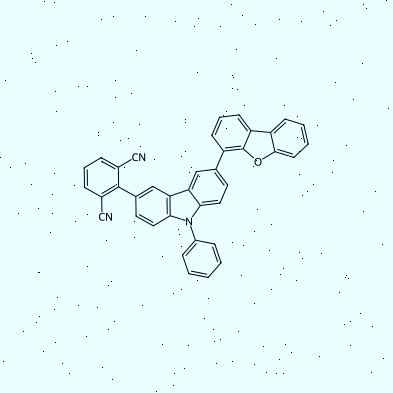 N#Cc1cccc(C#N)c1-c1ccc2c(c1)c1cc(-c3cccc4c3oc3ccccc34)ccc1n2-c1ccccc1